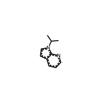 CC(C)n1ccc2cc[c]nc21